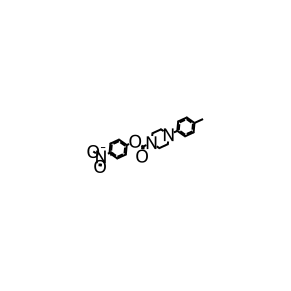 Cc1ccc(N2CCN(C(=O)Oc3ccc([N+](=O)[O-])cc3)CC2)cc1